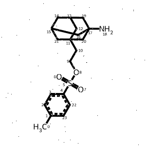 Cc1ccc(S(=O)(=O)OCCC23CC4CC(CC(N)(C4)C2)C3)cc1